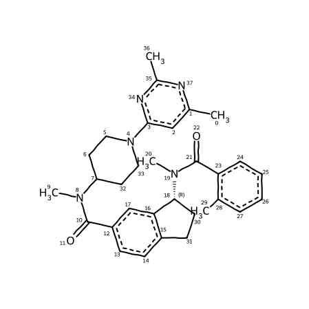 Cc1cc(N2CCC(N(C)C(=O)c3ccc4c(c3)[C@H](N(C)C(=O)c3ccccc3C)CC4)CC2)nc(C)n1